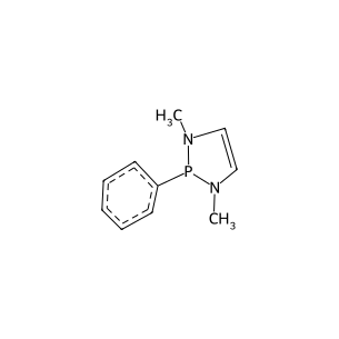 CN1C=CN(C)P1c1ccccc1